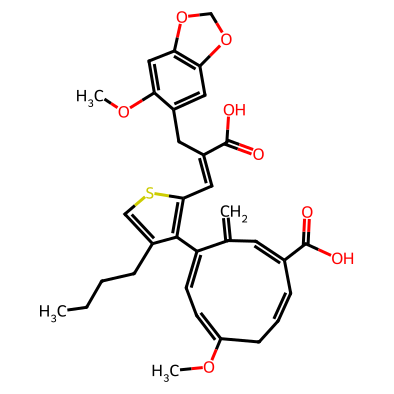 C=C1/C=C(C(=O)O)\C=C/C/C(OC)=C\C=C/1c1c(CCCC)csc1/C=C(\Cc1cc2c(cc1OC)OCO2)C(=O)O